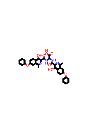 Cc1nc(C(=O)NC(NC(=O)c2nc(C)c3cc(Oc4ccccc4)ccc3c2O)C(=O)O)c(O)c2ccc(Oc3ccccc3)cc12